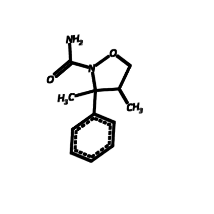 CC1CON(C(N)=O)C1(C)c1ccccc1